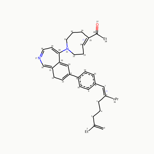 C=C(CC)CCC/C(=C\c1ccc(C2=CCC3=CN=CC=C(N4CC/C=C(\C(=O)CC)CCC4)C3=C2)cc1)CCC